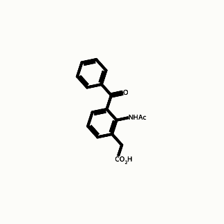 CC(=O)Nc1c(CC(=O)O)cccc1C(=O)c1ccccc1